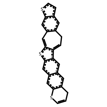 C1=CSc2cc3cc4sc5c(c4cc3cc2C1)=CCc1cc2ccsc2cc1C=5